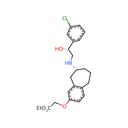 CCOC(=O)COc1ccc2c(c1)C[C@H](NC[C@H](O)c1cccc(Cl)c1)CCC2